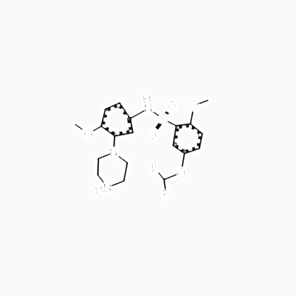 COc1ccc(NS(=O)(=O)c2cc(OC(F)F)ccc2OC)cc1N1CCNCC1